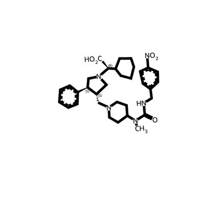 CN(C(=O)NCc1ccc([N+](=O)[O-])cc1)C1CCN(C[C@H]2CN([C@@H](C(=O)O)C3CCCCC3)C[C@@H]2c2ccccc2)CC1